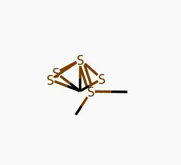 CS(C)=S123SC1(S2)S3